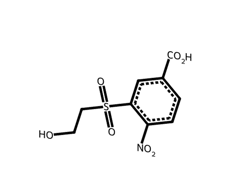 O=C(O)c1ccc([N+](=O)[O-])c(S(=O)(=O)CCO)c1